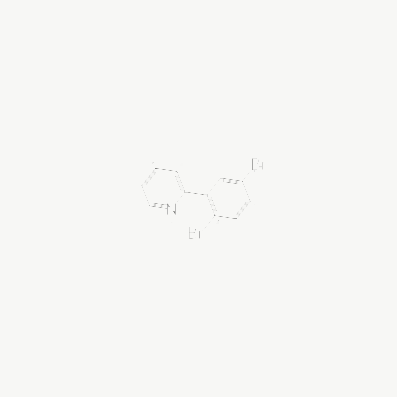 Brc1ccc(Br)c(-c2c[c]ccn2)c1